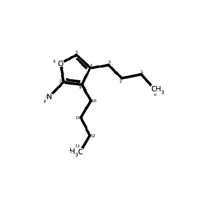 CCCCc1coc([N])c1CCCC